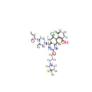 C=CC(=O)N1C[C@H](C)N(c2nc(OCCCN3CCC(C)(F)C3)nc3c(F)c(-c4c(O)cccc4F)c(Cl)cc23)C[C@H]1C